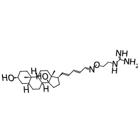 C[C@]12CC[C@H](O)C[C@H]1CC[C@@H]1[C@@H]2CC[C@]2(C)[C@@H](/C=C/C=C/C=N/OCCNC(=N)N)CC[C@]12O